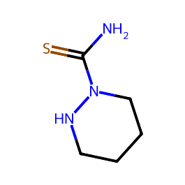 NC(=S)N1CCCCN1